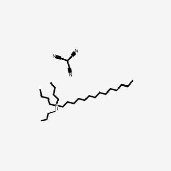 CCCCCCCCCCCCCC[PH](CCCC)(CCCC)CCCC.N#CC(C#N)C#N